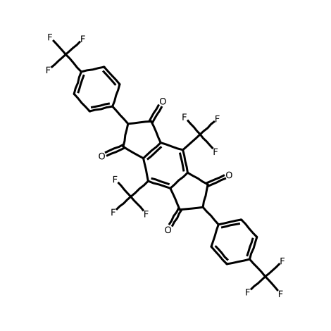 O=C1c2c(c(C(F)(F)F)c3c(c2C(F)(F)F)C(=O)C(c2ccc(C(F)(F)F)cc2)C3=O)C(=O)C1c1ccc(C(F)(F)F)cc1